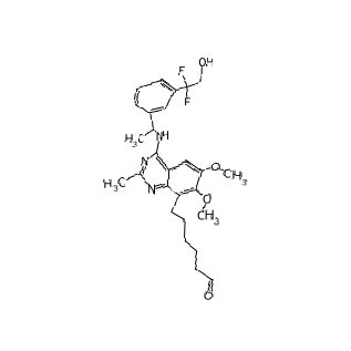 COc1cc2c(NC(C)c3cccc(C(F)(F)CO)c3)nc(C)nc2c(CCCCCC=O)c1OC